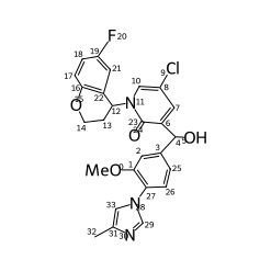 COc1cc(C(O)c2cc(Cl)cn(C3CCOc4ccc(F)cc43)c2=O)ccc1-n1cnc(C)c1